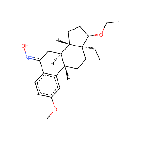 CCO[C@H]1CC[C@H]2[C@@H]3C/C(=N\O)c4c[c]c(OC)cc4[C@H]3CC[C@]12CC